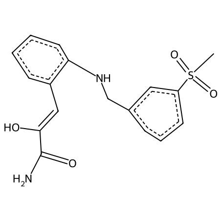 CS(=O)(=O)c1cccc(CNc2ccccc2C=C(O)C(N)=O)c1